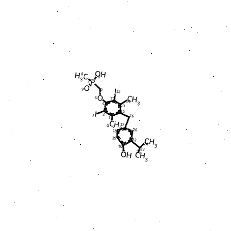 Cc1c(I)c(OCP(C)(=O)O)c(I)c(C)c1Cc1ccc(O)c(C(C)C)c1